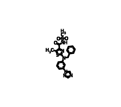 Cc1sc(N(Cc2ccccc2)c2cccc(-n3cncn3)c2)nc1C(=O)NS(C)(=O)=O